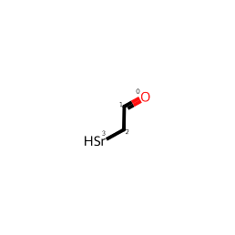 O=C[CH2][SrH]